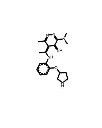 CC1=NN=C(N(C)C)C(=N)/C1=C(/C)Nc1ccccc1OC1CCNC1